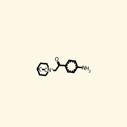 Nc1ccc(C(=O)C[N+]23CCC(CC2)CC3)cc1